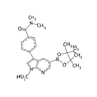 CN(C)C(=O)c1ccc(-c2cn(C(=O)O)c3ncc(B4OC(C)(C)C(C)(C)O4)cc23)cc1